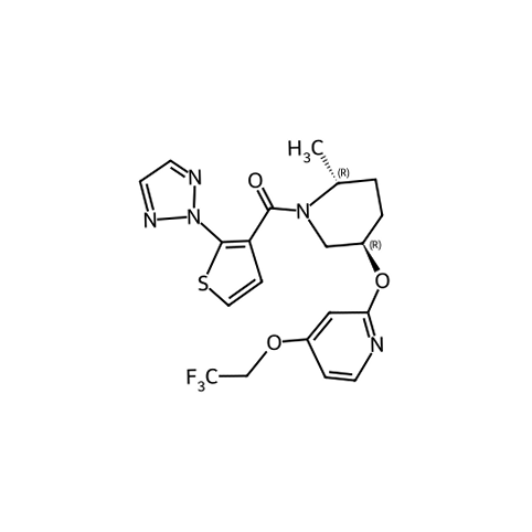 C[C@@H]1CC[C@@H](Oc2cc(OCC(F)(F)F)ccn2)CN1C(=O)c1ccsc1-n1nccn1